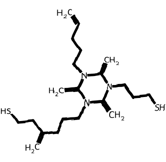 C=CCCCN1C(=C)N(CCCS)C(=C)N(CCCC(=C)CCS)C1=C